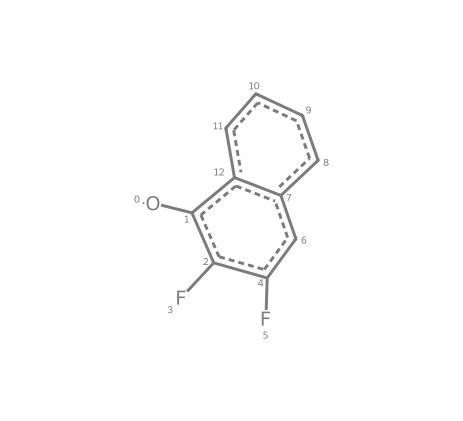 [O]c1c(F)c(F)cc2ccccc12